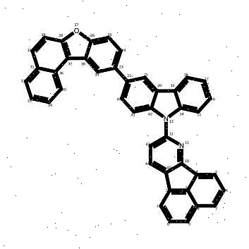 c1cc2c3c(cccc3c1)-c1nc(-n3c4ccccc4c4cc(-c5ccc6oc7ccc8ccccc8c7c6c5)ccc43)ccc1-2